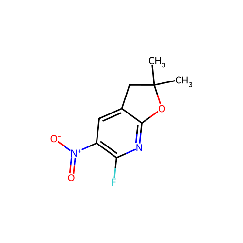 CC1(C)Cc2cc([N+](=O)[O-])c(F)nc2O1